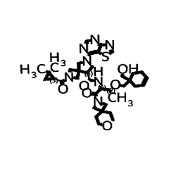 C[C@@H](OCC1(CO)CC=CCC1)[C@H](NC(=O)[C@@H]1CN(c2ncnc3ncsc23)CC12CN(C(=O)[C@H]1CC1(C)C)C2)C(=O)N1CC2(CCOCC2)C1